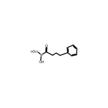 CCCCCCCCN(O)C(=O)CCCc1ccccc1